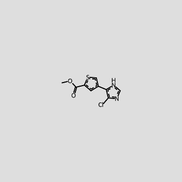 COC(=O)c1cc(-c2[nH]cnc2Cl)cs1